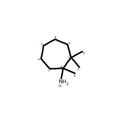 CC1(C)CCCCCC1(C)N